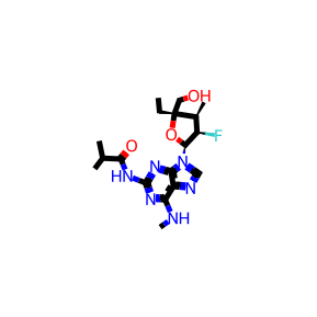 CC[C@]1(CO)O[C@@H](n2cnc3c(NC)nc(NC(=O)C(C)C)nc32)[C@H](F)[C@@H]1C